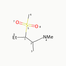 CCC(C(C)NC)S(C)(=O)=O